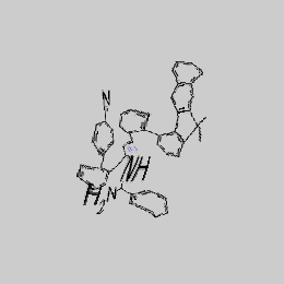 CC1(C)c2cc3ccccc3cc2-c2c(-c3ccccc3/C=C/C(NC(N)c3ccccc3)c3ccccc3-c3ccc(C#N)cc3)cccc21